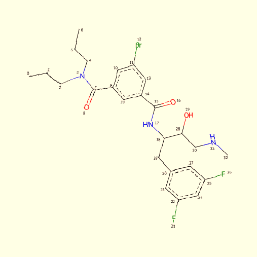 CCCN(CCC)C(=O)c1cc(Br)cc(C(=O)NC(Cc2cc(F)cc(F)c2)C(O)CNC)c1